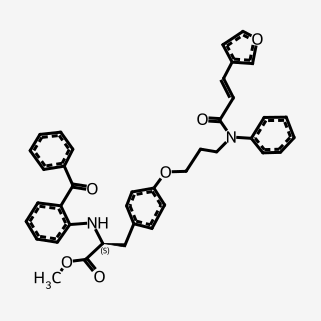 COC(=O)[C@H](Cc1ccc(OCCCN(C(=O)C=Cc2ccoc2)c2ccccc2)cc1)Nc1ccccc1C(=O)c1ccccc1